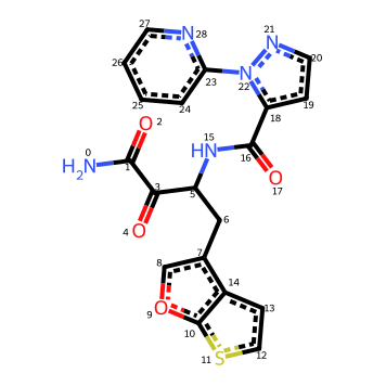 NC(=O)C(=O)C(Cc1coc2sccc12)NC(=O)c1ccnn1-c1ccccn1